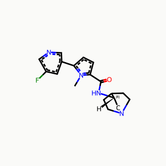 Cn1c(C(=O)N[C@H]2CN3CCC2CC3)ccc1-c1cncc(F)c1